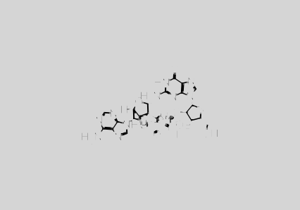 Nc1nc2c(ncn2[C@@H]2S[C@H](CO)[C@H](F)[C@H]2OP(O)(=S)OC[C@@]23CO[C@@H]([C@H](n4cnc5c(N)ncnc54)O2)[C@@H]3O[PH](=O)O)c(=O)[nH]1